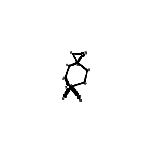 O=S1(=O)CCC2(CC1)CO2